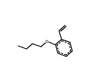 [CH]=Cc1ccccc1OCCCC